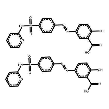 O=C(O)c1cc(/N=N/c2ccc(S(=O)(=O)Nc3ccccn3)cc2)ccc1O.O=C(O)c1cc(N=Nc2ccc(S(=O)(=O)Nc3ccccn3)cc2)ccc1O